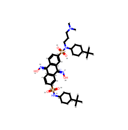 CN(C)CCCN(C1CCC(C(C)(C)C)CC1)S(=O)(=O)c1ccc2c(c1)/C(=N/O)c1cc(S(=O)(=O)NC3CCC(C(C)(C)C)CC3)ccc1/C2=N\O